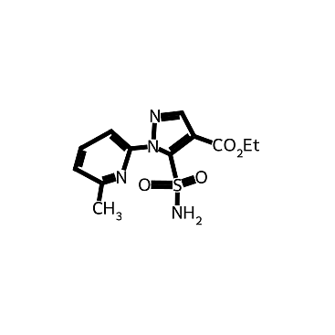 CCOC(=O)c1cnn(-c2cccc(C)n2)c1S(N)(=O)=O